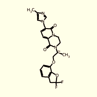 Cc1cn(-c2ccc3n(c2=O)CCN([C@@H](C)COc2cccc4c2OC(F)(F)C4)C3=O)cn1